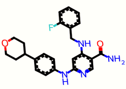 NC(=O)c1cnc(Nc2ccc(C3CCOCC3)cc2)cc1NCc1ccccc1F